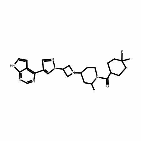 CC1CC(N2C[C](n3cc(-c4ncnc5[nH]ccc45)cn3)C2)CCN1C(=O)C1CCC(F)(F)CC1